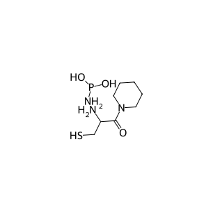 NC(CS)C(=O)N1CCCCC1.NP(O)O